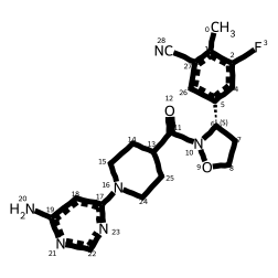 Cc1c(F)cc([C@@H]2CCON2C(=O)C2CCN(c3cc(N)ncn3)CC2)cc1C#N